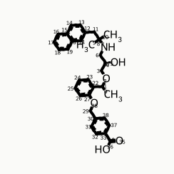 CC(OC[C@H](O)CNC(C)(C)Cc1ccc2ccccc2c1)c1ccccc1OCc1ccc(C(=O)O)cc1